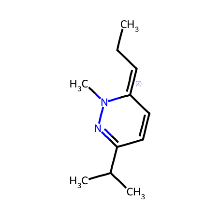 CC/C=C1/C=CC(C(C)C)=NN1C